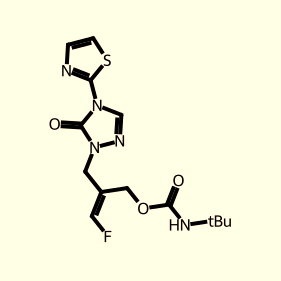 CC(C)(C)NC(=O)OC/C(=C\F)Cn1ncn(-c2nccs2)c1=O